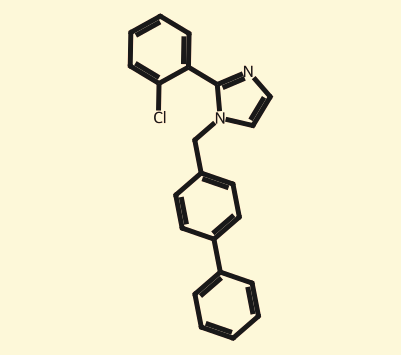 Clc1ccccc1-c1nccn1Cc1ccc(-c2ccccc2)cc1